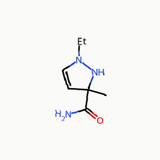 CCN1C=CC(C)(C(N)=O)N1